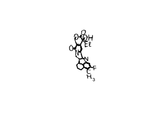 CC[C@]1(O)C(=O)OCc2c1cc1n(c2=O)Cc2c-1nc1cc(F)c(C)c3c1c2CCC3